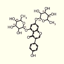 CC1O[C@@H](Oc2cc(O[C@@H]3OC(C)[C@H](O)[C@H](O)C3O)c3c(=O)c(-c4ccc(O)cc4)coc3c2)C(O)[C@@H](O)[C@H]1O